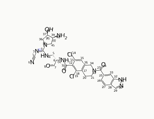 N#C/N=C(\NC[C@@H](C=O)NC(=O)c1c(Cl)cc2c(c1Cl)CCN(C(=O)c1ccc3cn[nH]c3c1)C2)N1C[C@@H](O)[C@@H](N)C1